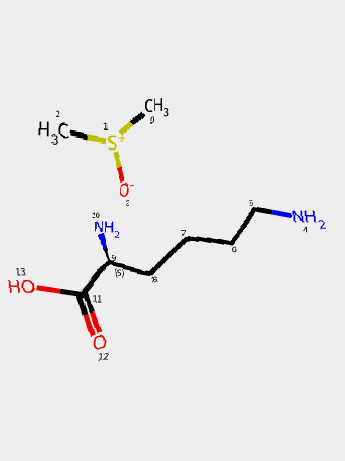 C[S+](C)[O-].NCCCC[C@H](N)C(=O)O